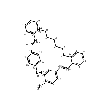 Nc1ccc(/N=N/c2cccc[n+]2CCCCCC[n+]2ccccc2/N=N/c2ccc(N)cc2)cc1